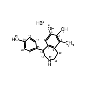 Br.Cc1c(O)c(O)cc2c1CCNCC2c1ccc(O)cc1